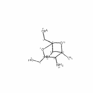 CCC1C2(CO)OC(CO)C(N)C1(C)O2